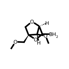 BC1O[C@]2(COC)CO[C@@H]1[C@@H]2OC